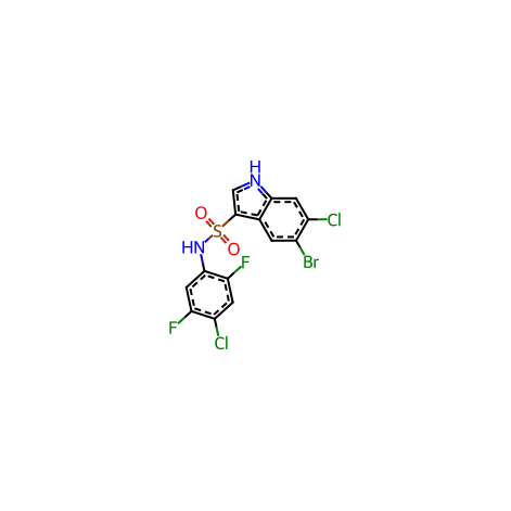 O=S(=O)(Nc1cc(F)c(Cl)cc1F)c1c[nH]c2cc(Cl)c(Br)cc12